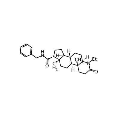 CCN1C(=O)CC[C@]2(C)[C@H]3CC[C@]4(C)[C@@H](C(=O)NCc5ccccc5)CC[C@H]4[C@@H]3CC[C@@H]12